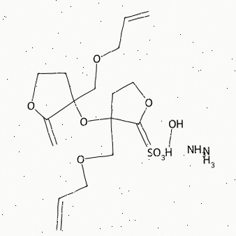 C=CCOCC1(OC2(COCC=C)CCOC2=C)CCOC1=C.N.N.O=S(=O)(O)O